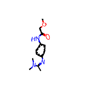 COCC(=O)Nc1ccc(/N=C(/C)N(C)C)cc1